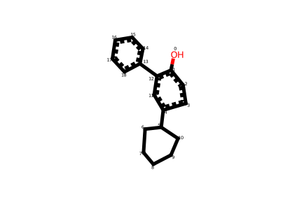 Oc1ccc(C2CCCCC2)cc1-c1ccccc1